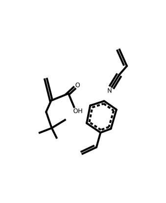 C=C(CC(C)(C)C)C(=O)O.C=CC#N.C=Cc1ccccc1